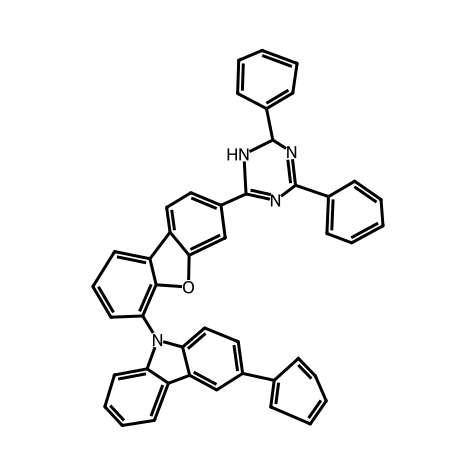 c1ccc(C2=NC(c3ccccc3)NC(c3ccc4c(c3)oc3c(-n5c6ccccc6c6cc(-c7ccccc7)ccc65)cccc34)=N2)cc1